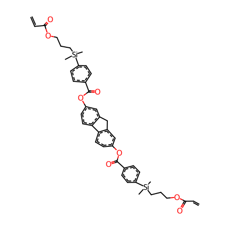 C=CC(=O)OCCC[Si](C)(C)c1ccc(C(=O)Oc2ccc3c(c2)Cc2cc(OC(=O)c4ccc([Si](C)(C)CCCOC(=O)C=C)cc4)ccc2-3)cc1